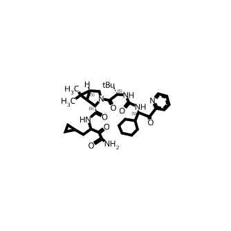 CC(C)(C)[C@H](NC(=O)N[C@H](C(=O)c1ccccn1)C1CCCCC1)C(=O)N1C[C@H]2C([C@H]1C(=O)NC(CC1CC1)C(=O)C(N)=O)C2(C)C